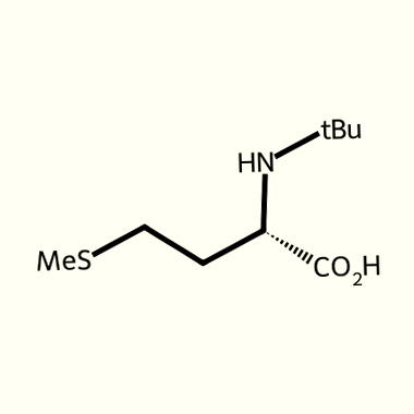 CSCC[C@H](NC(C)(C)C)C(=O)O